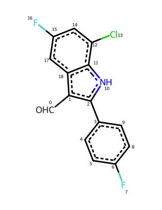 O=Cc1c(-c2ccc(F)cc2)[nH]c2c(Cl)cc(F)cc12